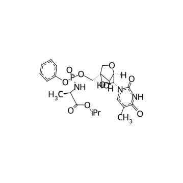 Cc1cn([C@@H]2O[C@@]3(CO[P@@](=O)(N[C@H](C)C(=O)OC(C)C)Oc4ccccc4)CO[C@@H]2[C@@H]3O)c(=O)[nH]c1=O